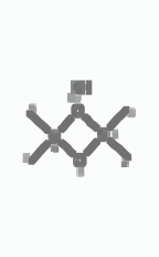 C[Si]1(C)O[Si](C)(C)O1.[KH]